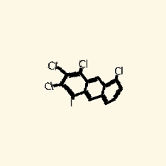 Clc1c(Cl)c(I)c2cc3cccc(Cl)c3cc2c1Cl